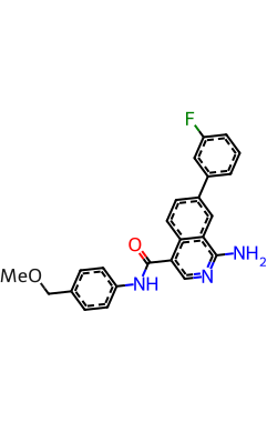 COCc1ccc(NC(=O)c2cnc(N)c3cc(-c4cccc(F)c4)ccc23)cc1